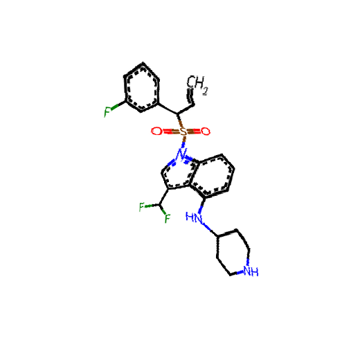 C=CC(c1cccc(F)c1)S(=O)(=O)n1cc(C(F)F)c2c(NC3CCNCC3)cccc21